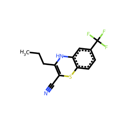 CCCC1=C(C#N)Sc2ccc(C(F)(F)F)cc2N1